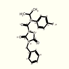 CC(C)N(C(=O)n1oc(=O)n(Cc2ccccc2)c1=O)c1ccc(F)cc1